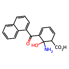 NC1(O)C(C(=O)c2cccc3ccccc23)=CC=CC1C(=O)O